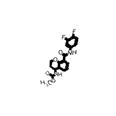 COC(=O)NC1CCOc2c(C(=O)Nc3ccc(F)c(F)c3)cccc21